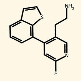 NCCc1cnc(F)cc1-c1cccc2ccsc12